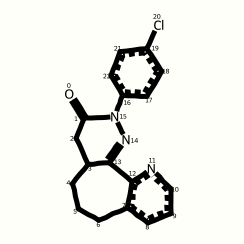 O=C1CC2CCCc3cccnc3C2=NN1c1ccc(Cl)cc1